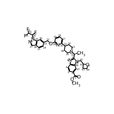 COC(=O)c1ccc2nc([C@H](C)N3CCC(c4cccc(OCc5ccc6cnn(C(F)C(F)F)c6c5)n4)CC3)n(CC3CCO3)c2c1